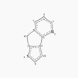 c1cnc2c(c1)Cc1sccc1-2